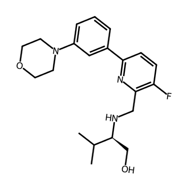 CC(C)[C@H](CO)NCc1nc(-c2cccc(N3CCOCC3)c2)ccc1F